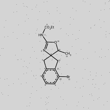 CCOC(=O)NC1=NC2(Cc3cccc(Br)c3C2)C(C)O1